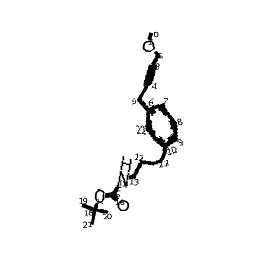 COCC#CCc1cccc(CCCNC(=O)OC(C)(C)C)c1